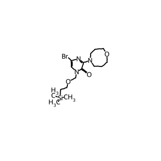 C[Si](C)(C)CCOCn1cc(Br)nc(N2CCCOCCC2)c1=O